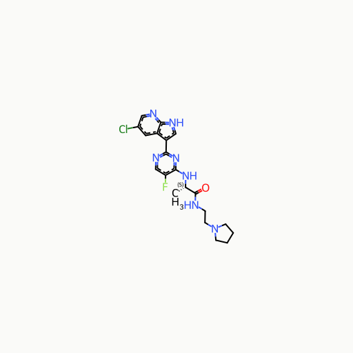 C[C@H](Nc1nc(-c2c[nH]c3ncc(Cl)cc23)ncc1F)C(=O)NCCN1CCCC1